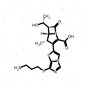 C[C@@H](O)[C@H]1C(=O)N2C(C(=O)O)=C(c3cn4cnc(SCCCN)c4s3)[C@H](C)[C@H]12